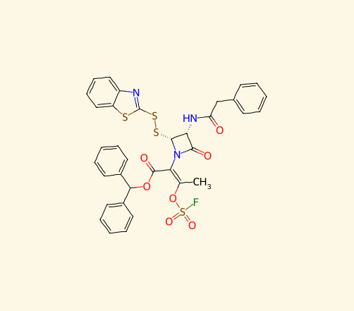 C/C(OS(=O)(=O)F)=C(/C(=O)OC(c1ccccc1)c1ccccc1)N1C(=O)[C@@H](NC(=O)Cc2ccccc2)[C@H]1SSc1nc2ccccc2s1